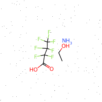 CCO.N.O=C(O)C(F)(F)C(F)(F)C(F)(F)F